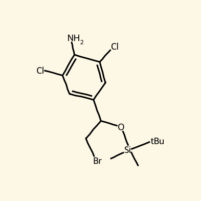 CC(C)(C)[Si](C)(C)OC(CBr)c1cc(Cl)c(N)c(Cl)c1